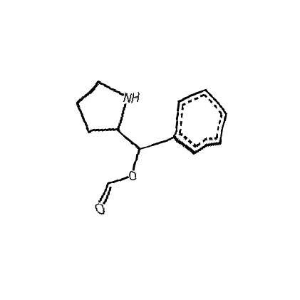 O=COC(c1ccccc1)C1CCCN1